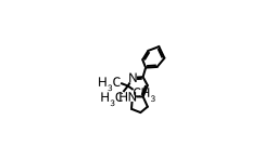 CC(C)(C)/N=C(\C=C1\CCCN1)c1ccccc1